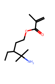 C=C(C)C(=O)OCCC(CC)C(C)(C)N